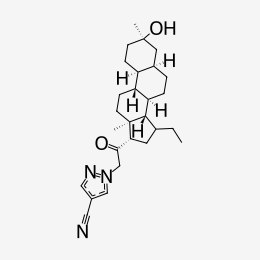 CCC1C[C@H](C(=O)Cn2cc(C#N)cn2)[C@@]2(C)CC[C@H]3[C@@H](CC[C@@H]4C[C@](C)(O)CC[C@@H]43)[C@H]12